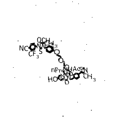 CCC[C@H](NC(C)=O)C(=O)N1C[C@H](O)C[C@H]1C(=O)NCc1ccc(-c2scnc2C)cc1OCCOCCOCCOc1ccc(N2C(=S)N(c3ccc(C#N)c(C(F)(F)F)c3)C(=O)C2(C)C)cc1